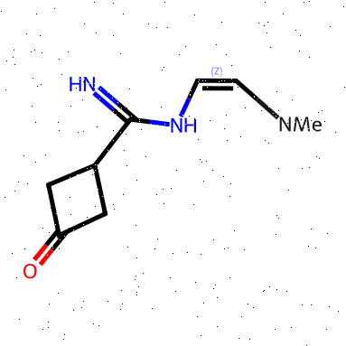 CN/C=C\NC(=N)C1CC(=O)C1